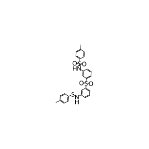 Cc1ccc(SNc2cccc(S(=O)(=O)c3cccc(NS(=O)(=O)c4ccc(C)cc4)c3)c2)cc1